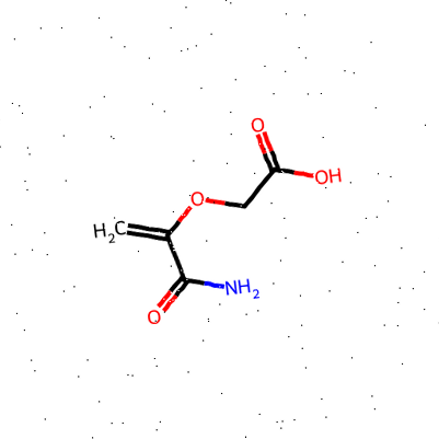 C=C(OCC(=O)O)C(N)=O